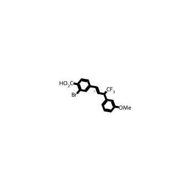 COc1cccc(C(/C=C/c2ccc(C(=O)O)c(Br)c2)C(F)(F)F)c1